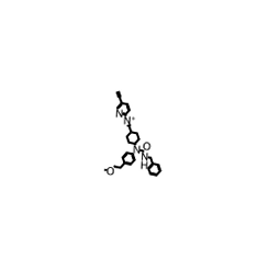 C#Cc1ccc([N+]#CC2CCC(N(C(=O)NCc3ccccc3)c3ccc(CCOC)cc3)CC2)nc1